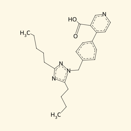 CCCCCc1nc(CCCC)n(Cc2ccc(-c3ccncc3C(=O)O)cc2)n1